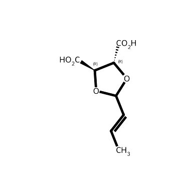 CC=CC1O[C@@H](C(=O)O)[C@H](C(=O)O)O1